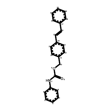 O=C(Nc1ccccc1)OCc1ccc(/C=C/c2ccccc2)cc1